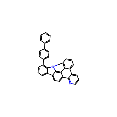 c1ccc(-c2ccc(-c3cccc4c5ccc6c7ncccc7c7cccc8c7c6c5n8c34)cc2)cc1